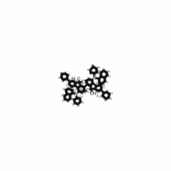 CC1(C)c2cc(-c3ccccc3)ccc2-c2c(N(c3ccccc3)c3cccc4ccccc34)ccc(-c3ccc(N(c4ccccc4)c4cccc5ccccc45)c4c3C(C)(C)c3cc(-c5ccccc5)ccc3-4)c21